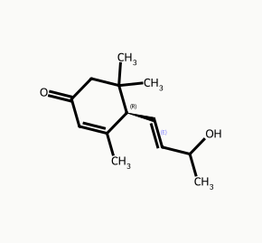 CC1=CC(=O)CC(C)(C)[C@H]1/C=C/C(C)O